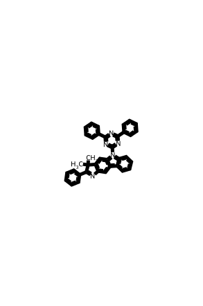 CC1(C)C(c2ccccc2)=Nc2cc3c4ccccc4n(-c4nc(-c5ccccc5)nc(-c5ccccc5)n4)c3cc21